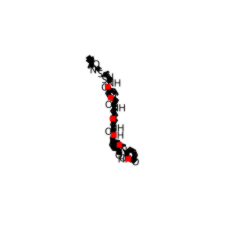 CC(C)(C)c1cnc(CSc2cnc(NC(=O)C3CCN(CC(=O)NCCOCCNC(=O)NCc4ccc5c(c4)CN([C@H]4CCCC(=O)NC4=O)C5=O)CC3)s2)o1